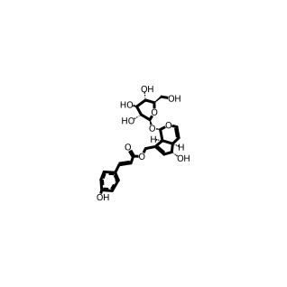 O=C(/C=C/c1ccc(O)cc1)OCC1=C[C@@H](O)[C@@H]2C=CO[C@@H](O[C@@H]3O[C@H](CO)[C@@H](O)[C@H](O)[C@H]3O)[C@H]12